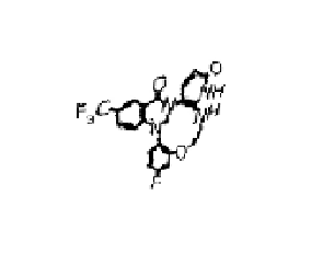 O=C1c2cc(C(F)(F)F)ccc2N2CN1c1ccc(=O)[nH]c1NCCOc1cc(F)ccc12